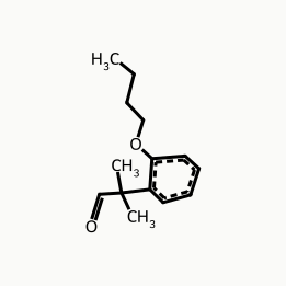 CCCCOc1ccccc1C(C)(C)C=O